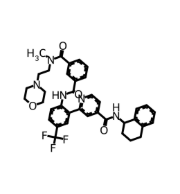 CN(CCN1CCOCC1)C(=O)c1cccc(C(=O)Nc2ccc(C(F)(F)F)cc2-c2cc(C(=O)NC3CCCc4ccccc43)ccn2)c1